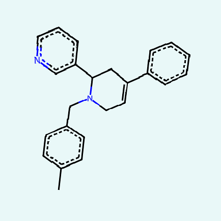 Cc1ccc(CN2CC=C(c3ccccc3)CC2c2cccnc2)cc1